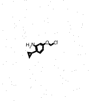 Nc1cc(OCCl)ccc1C1CC1